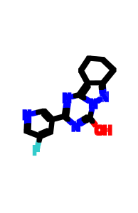 Oc1nc(-c2cncc(F)c2)nc2c3c(nn12)CCCC3